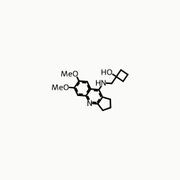 COc1cc2nc3c(c(NCC4(O)CCC4)c2cc1OC)CCC3